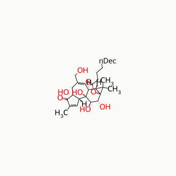 CCCCCCCCCCCCCC(=O)O[C@@]12[C@H](O)[C@@H](O)[C@@]3(O)[C@@H](C=C(CO)C[C@]4(O)C(=O)C(C)=C[C@@H]34)[C@@H]1C2(C)C